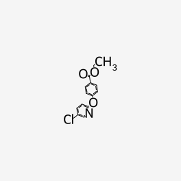 CCOC(=O)c1ccc(Oc2ccc(Cl)cn2)cc1